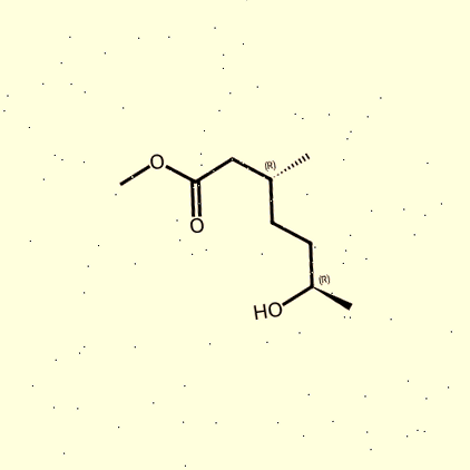 COC(=O)C[C@H](C)CC[C@@H](C)O